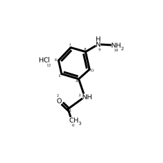 CC(=O)Nc1cccc(NN)c1.Cl